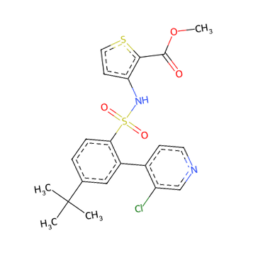 COC(=O)c1sccc1NS(=O)(=O)c1ccc(C(C)(C)C)cc1-c1ccncc1Cl